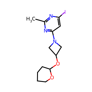 Cc1nc(I)cc(N2CC(OC3CCCCO3)C2)n1